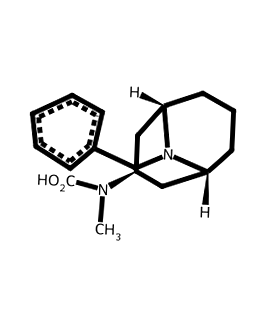 CN(C(=O)O)[C@@H]1C[C@H]2CCC[C@@H](C1)N2Cc1ccccc1